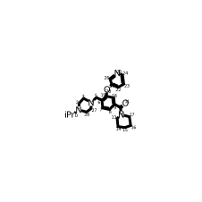 CC(C)N1CCN(Cc2ccc(C(=O)N3CCCCC3)cc2Oc2cccnc2)CC1